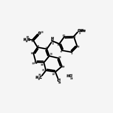 COc1cccc(Nc2c(C(N)=O)cnc3c(C)c(Cl)ccc23)c1.Cl